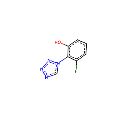 Oc1cccc(F)c1-n1cnnn1